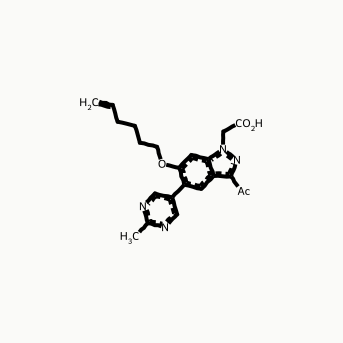 C=CCCCCOc1cc2c(cc1-c1cnc(C)nc1)c(C(C)=O)nn2CC(=O)O